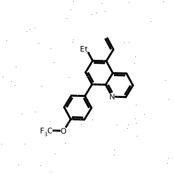 C=Cc1c(CC)cc(-c2ccc(OC(F)(F)F)cc2)c2ncccc12